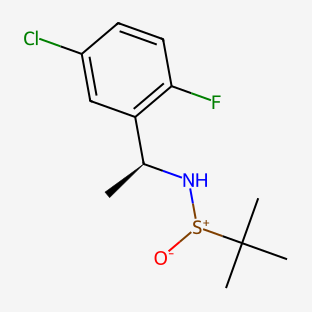 C[C@H](N[S+]([O-])C(C)(C)C)c1cc(Cl)ccc1F